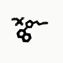 CCCCCCCCS(=O)(=O)[O-].COCOC1CC[S+](c2cccc3ccccc23)C1